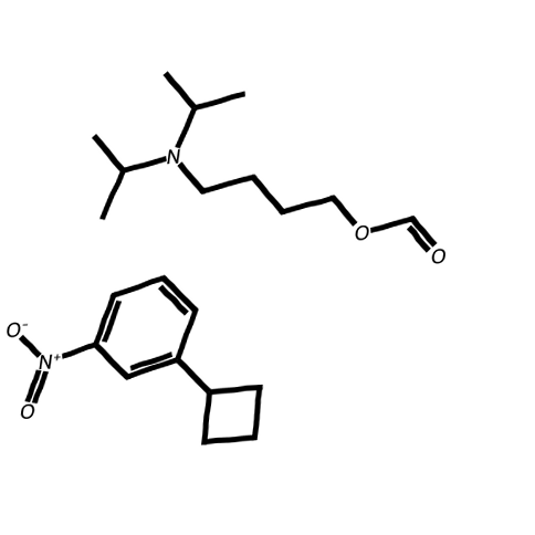 CC(C)N(CCCCOC=O)C(C)C.O=[N+]([O-])c1cccc(C2CCC2)c1